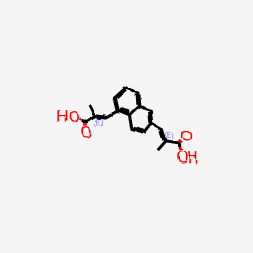 C/C(=C\c1ccc2c(/C=C(\C)C(=O)O)cccc2c1)C(=O)O